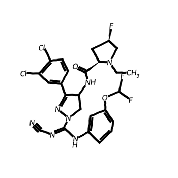 CCN1C[C@H](F)C[C@@H]1C(=O)NC1CN(C(=NC#N)Nc2cccc(OC(F)F)c2)N=C1c1ccc(Cl)c(Cl)c1